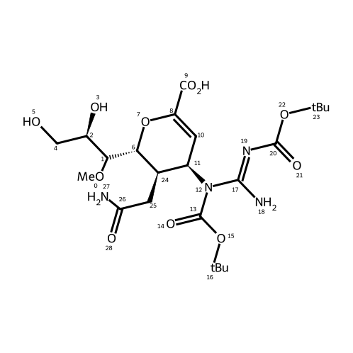 COC([C@H](O)CO)[C@@H]1OC(C(=O)O)=C[C@@H](N(C(=O)OC(C)(C)C)C(N)=NC(=O)OC(C)(C)C)[C@H]1CC(N)=O